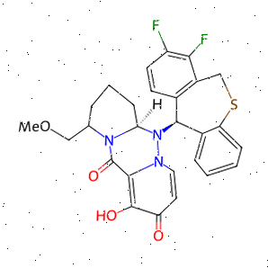 COCC1CCC[C@@H]2N1C(=O)c1c(O)c(=O)ccn1N2[C@@H]1c2ccccc2SCc2c1ccc(F)c2F